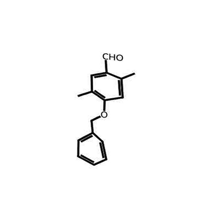 Cc1cc(OCc2ccccc2)c(C)cc1C=O